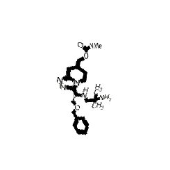 CNC(=O)OCC1CCn2c(nnc2[C@@H](COCc2ccccc2)NCC(C)(C)N)C1